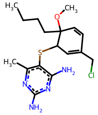 CCCCC1(OC)C=CC(CCl)=CC1Sc1c(C)nc(N)nc1N